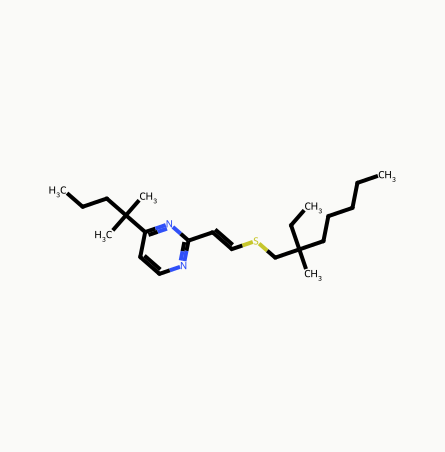 CCCCCC(C)(CC)CS/C=C/c1nccc(C(C)(C)CCC)n1